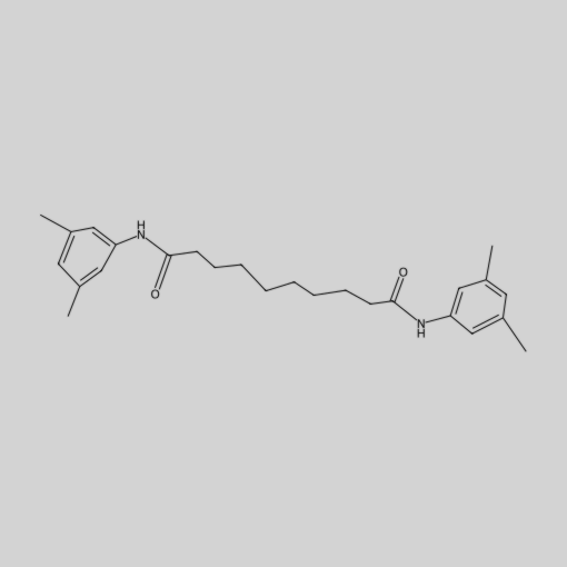 Cc1cc(C)cc(NC(=O)CCCCCCCCC(=O)Nc2cc(C)cc(C)c2)c1